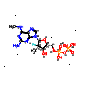 CNc1nc(N)nc2c1ncn2[C@@H]1O[C@H](COP(=O)(O)OP(=O)(O)O)[C@@H](O)[C@@]1(C)F